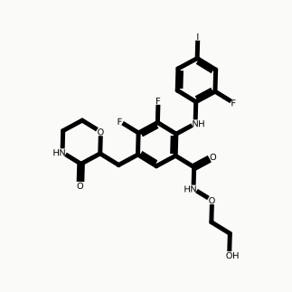 O=C(NOCCO)c1cc(CC2OCCNC2=O)c(F)c(F)c1Nc1ccc(I)cc1F